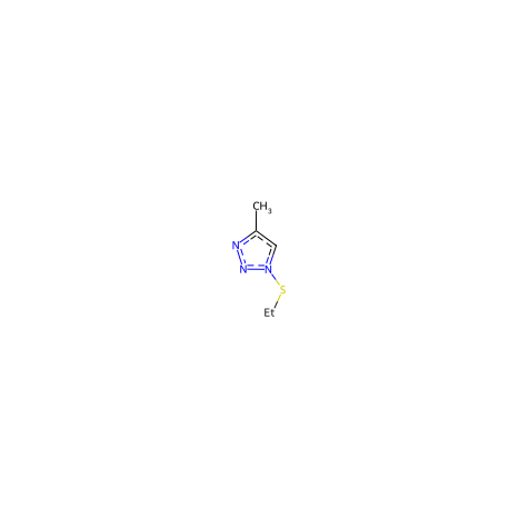 CCSn1cc(C)nn1